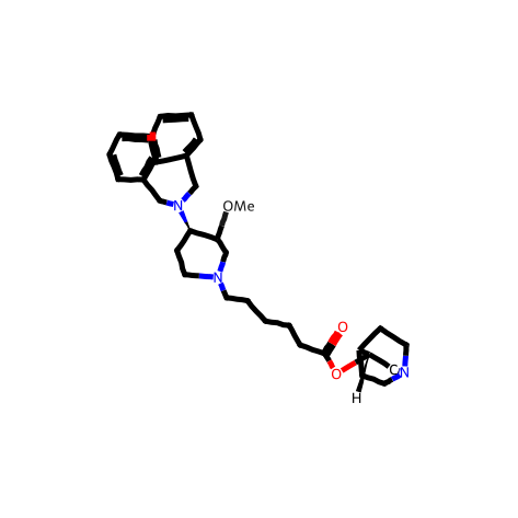 COC1CN(CCCCCC(=O)O[C@H]2CN3CCC2CC3)CC[C@H]1N(Cc1ccccc1)Cc1ccccc1